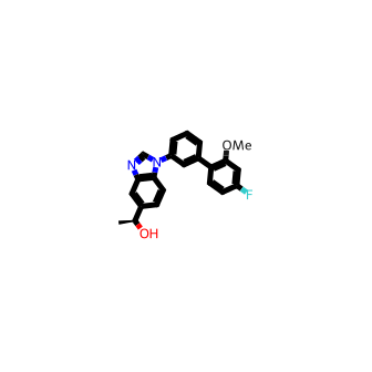 COc1cc(F)ccc1-c1cccc(-n2cnc3cc([C@H](C)O)ccc32)c1